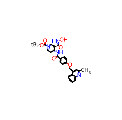 Cc1cc(COc2ccc(C(=O)NC3CCN(C(=O)OC(C)(C)C)C[C@H]3C(=O)NO)cc2)c2ccccc2n1